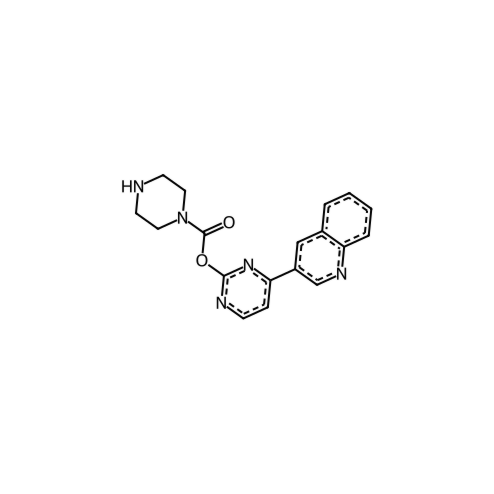 O=C(Oc1nccc(-c2cnc3ccccc3c2)n1)N1CCNCC1